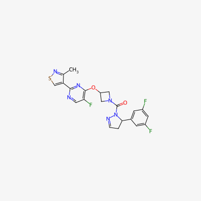 Cc1nscc1-c1ncc(F)c(OC2CN(C(=O)N3N=CCC3c3cc(F)cc(F)c3)C2)n1